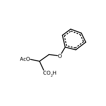 CC(=O)OC(COc1ccccc1)C(=O)O